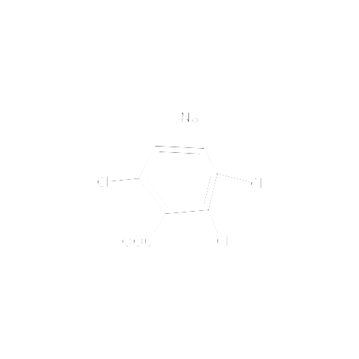 O=C([O-])c1c(Cl)ccc(Cl)c1Cl.[Na+]